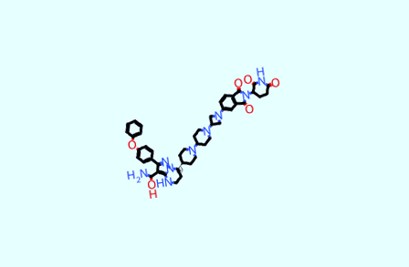 NC(O)c1c(-c2ccc(Oc3ccccc3)cc2)nn2c1NCC[C@H]2C1CCN(C2CCN(C3CN(c4ccc5c(c4)C(=O)N(C4CCC(=O)NC4=O)C5=O)C3)CC2)CC1